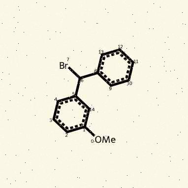 COc1cccc(C(Br)c2ccccc2)c1